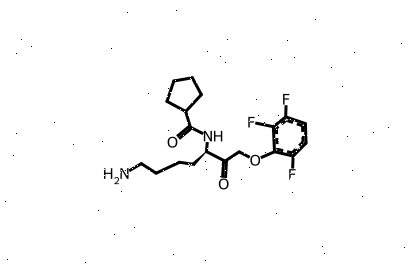 NCCCC[C@@H](NC(=O)C1CCCC1)C(=O)COc1c(F)ccc(F)c1F